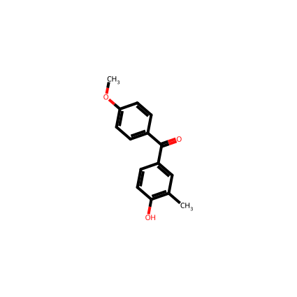 COc1ccc(C(=O)c2ccc(O)c(C)c2)cc1